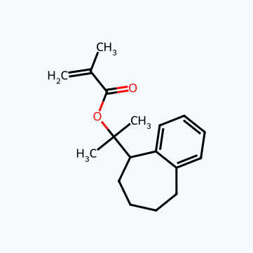 C=C(C)C(=O)OC(C)(C)C1CCCCc2ccccc21